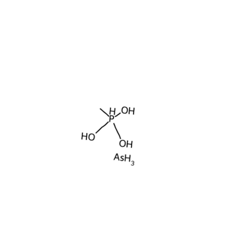 C[PH](O)(O)O.[AsH3]